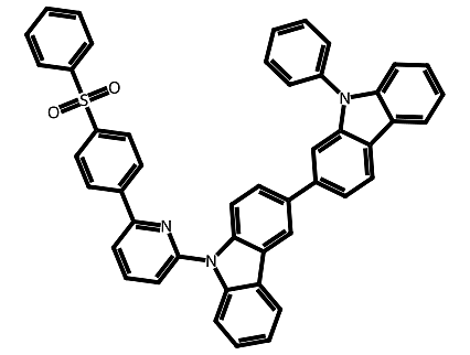 O=S(=O)(c1ccccc1)c1ccc(-c2cccc(-n3c4ccccc4c4cc(-c5ccc6c7ccccc7n(-c7ccccc7)c6c5)ccc43)n2)cc1